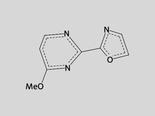 COc1ccnc(-c2ncco2)n1